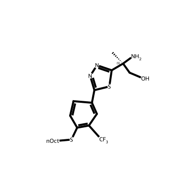 CCCCCCCCSc1ccc(-c2nnc([C@@](C)(N)CO)s2)cc1C(F)(F)F